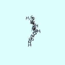 Cc1cccc(-c2nccc(Nc3ccnc(Nc4ccc(CN5CCCC(C(=O)OC6CCNCC6)C5)cc4)n3)n2)n1